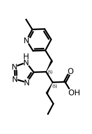 CCC[C@H](C(=O)O)[C@H](Cc1ccc(C)nc1)c1nnn[nH]1